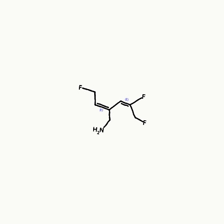 NCC(/C=C(/F)CF)=C/CF